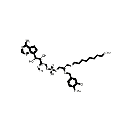 CCCCCCCCCCCCCCCCCCOC[C@H](COP(=O)(O)OC[C@@H](OC#N)[C@@H](O)[C@@H](O)c1ccc2c(N)ncnn12)OCc1ccc(OC)c(Cl)c1